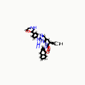 C#Cc1cc2cnc(Nc3ccc(C4CNCCO4)cc3)nc2n(C2CCc3ccccc3C2=O)c1=O